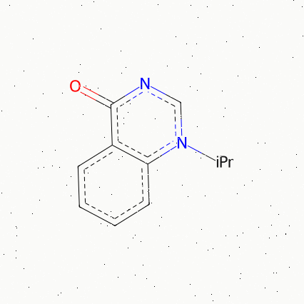 CC(C)n1cnc(=O)c2ccccc21